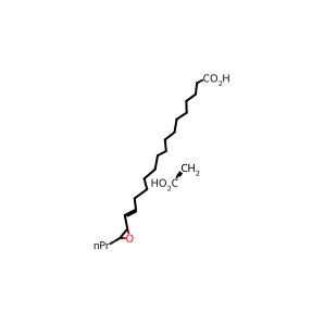 C=CC(=O)O.CCCC1OC1C=CCCCCCCCCCCCCCC(=O)O